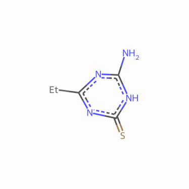 CCc1nc(N)[nH]c(=S)n1